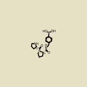 O=C(NCc1ccc(B(O)O)cc1)[C@@H]1CCCN1C(=O)[C@@H]1CCCN1